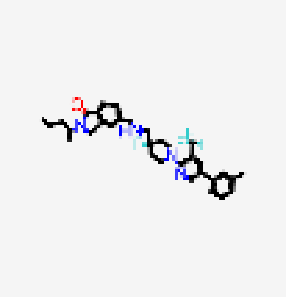 CCCC(C)N1Cc2cc(CNCC3(F)CCN(c4ncc(-c5cccc(C)c5)cc4C(F)(F)F)CC3)ccc2C1=O